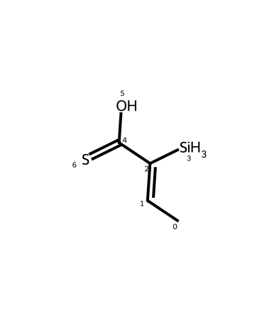 CC=C([SiH3])C(O)=S